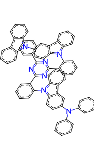 c1ccc(-c2nc(-c3ccccc3-n3c4ccccc4c4cc(N(c5ccccc5)c5ccccc5)ccc43)nc(-c3ccccc3-n3c4ccccc4c4cc(-n5c6ccccc6c6ccccc65)ccc43)n2)cc1